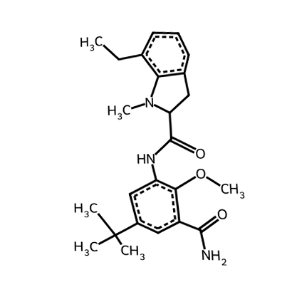 CCc1cccc2c1N(C)C(C(=O)Nc1cc(C(C)(C)C)cc(C(N)=O)c1OC)C2